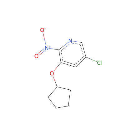 O=[N+]([O-])c1ncc(Cl)cc1OC1CCCC1